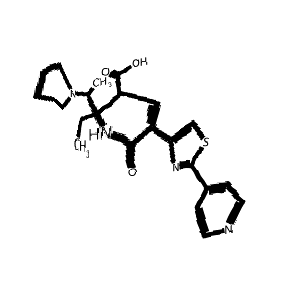 CCC1(C(C)N2CCCC2)NC(=O)C(c2csc(-c3ccncc3)n2)=CC1C(=O)O